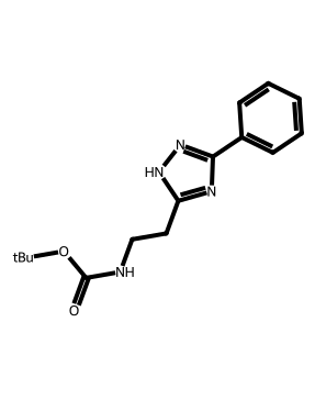 CC(C)(C)OC(=O)NCCc1nc(-c2ccccc2)n[nH]1